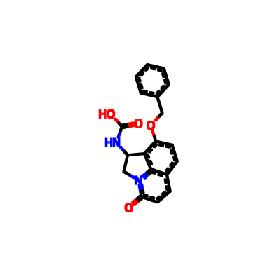 O=C(O)NC1Cn2c(=O)ccc3ccc(OCc4ccccc4)c1c32